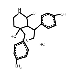 CCC(c1ccc(O)cc1)C1C(O)NCCC1(O)Cc1ccc(C)cc1.Cl